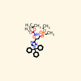 CCOP(=O)(CC)OCCC(ONC(=O)OC(C)(C)C)c1ncn(C(c2ccccc2)(c2ccccc2)c2ccccc2)n1